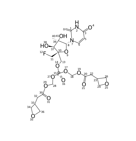 C=C1NC(=O)C=CN1[C@@H]1O[C@](CF)(COP(=O)(OCOC(=O)CC2COC2)OCOC(=O)CC2COC2)[C@@H](O)[C@@]1(C)O